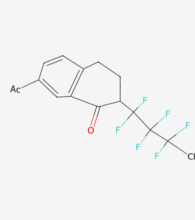 CC(=O)c1ccc2c(c1)C(=O)C(C(F)(F)C(F)(F)C(F)(F)C(F)(F)F)CC2